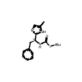 Cc1cnc([C@H](Cc2ccccc2)NC(=O)OC(C)(C)C)[nH]1